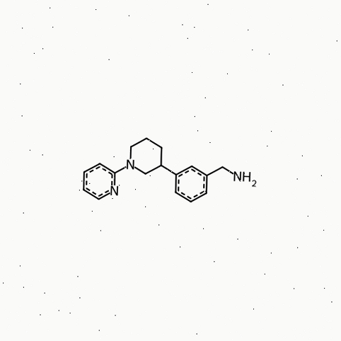 NCc1cccc(C2CCCN(c3ccccn3)C2)c1